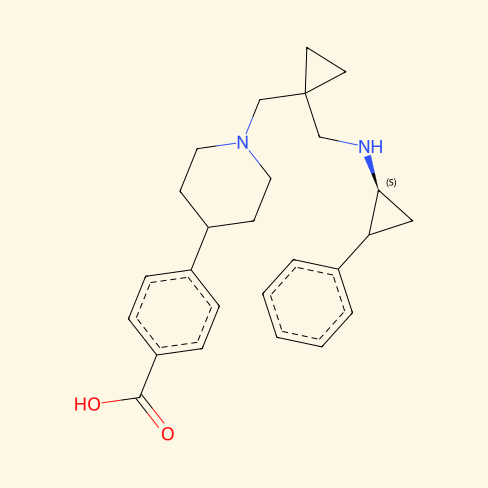 O=C(O)c1ccc(C2CCN(CC3(CN[C@H]4CC4c4ccccc4)CC3)CC2)cc1